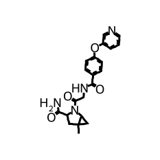 CC12CC(C(N)=O)N(C(=O)CNC(=O)c3ccc(Oc4cccnc4)cc3)C1C2